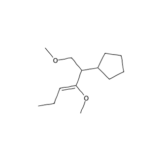 CCC=C(OC)C(COC)C1CCCC1